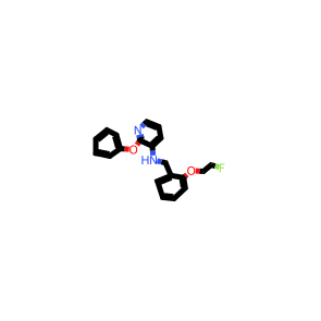 FCCOc1ccccc1CNc1cccnc1Oc1ccccc1